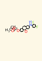 CC1(C)OC[C@H](COc2ccc3c(c2)CC=C2CC(Nc4ccc(F)cc4F)=CC=C2C3=O)O1